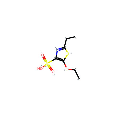 CCOc1sc(CC)nc1S(=O)(=O)O